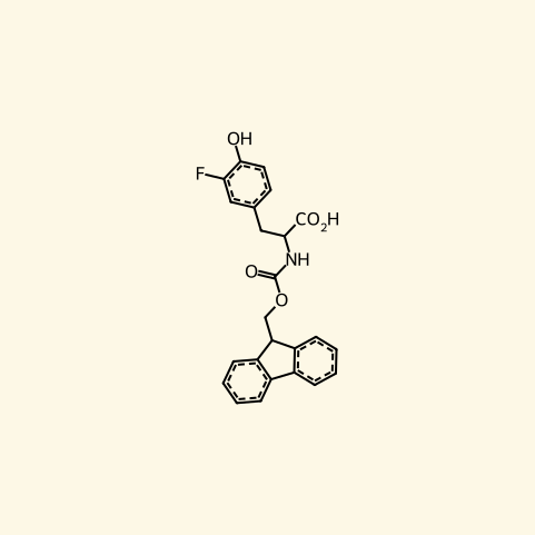 O=C(NC(Cc1ccc(O)c(F)c1)C(=O)O)OCC1c2ccccc2-c2ccccc21